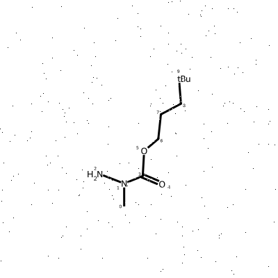 CN(N)C(=O)OCCCC(C)(C)C